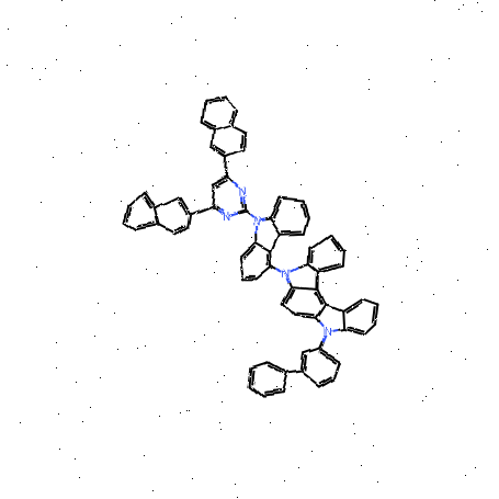 c1ccc(-c2cccc(-n3c4ccccc4c4c5c6ccccc6n(-c6cccc7c6c6ccccc6n7-c6nc(-c7ccc8ccccc8c7)cc(-c7ccc8ccccc8c7)n6)c5ccc43)c2)cc1